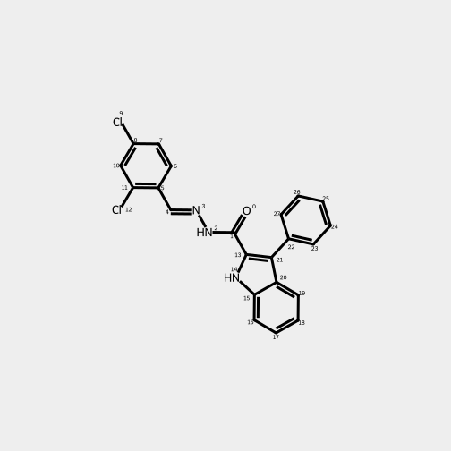 O=C(NN=Cc1ccc(Cl)cc1Cl)c1[nH]c2ccccc2c1-c1ccccc1